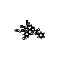 Cc1nc2nc(C(=O)Nc3ccccc3)nn2c(-c2ccc(Cl)cc2Cl)c1C(NC(=O)O)C(C)(C)C